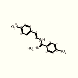 Cl.N=C(NC=Cc1ccc([N+](=O)[O-])cc1)c1ccc([N+](=O)[O-])cc1